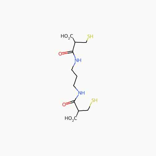 O=C(O)C(CS)C(=O)NCCCNC(=O)C(CS)C(=O)O